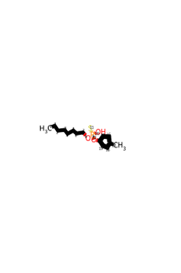 CCCCCCCCOP(O)(=S)Oc1ccc(C)cc1